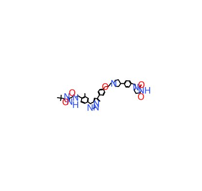 Cc1cc(-c2ncnn3cc(-c4ccc(OCCN5CCC(c6ccc(CN7CCC(=O)NC7=O)cc6)CC5)cc4)cc23)ccc1CNC(=O)c1noc(C(C)(C)C)n1